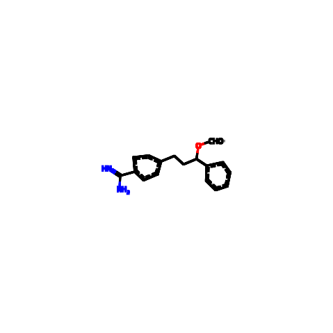 N=C(N)c1ccc(CCC(O[C]=O)c2ccccc2)cc1